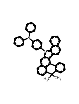 CC1(C)c2ccccc2-c2c3c1cccc3cc1c2c2ccc3ccccc3c2n1-c1ccc(N(c2ccccc2)c2ccccc2)cc1